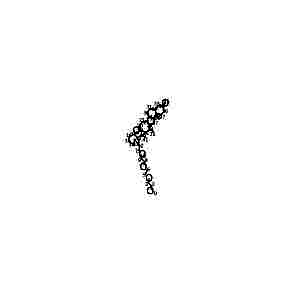 COCCOCCOCCOCCN1CCCC2OC3(CCC4C(=C(C)C3)CC3C4CCC4=CC(=O)CCC43C)C(C)C21